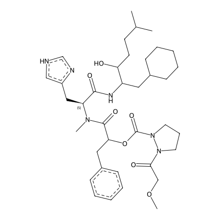 COCC(=O)N1CCCN1C(=O)OC(Cc1ccccc1)C(=O)N(C)[C@@H](Cc1c[nH]cn1)C(=O)NC(CC1CCCCC1)C(O)CCC(C)C